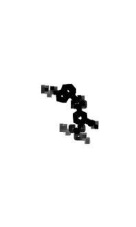 CC(C)OC1CC=C(c2nc(-c3cccc4c3CC[C@@H]4N)no2)C=C1C#N